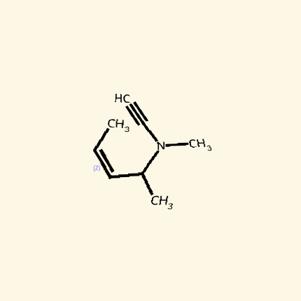 C#CN(C)C(C)/C=C\C